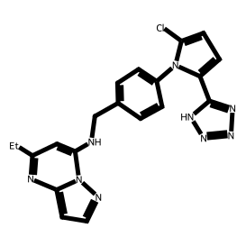 CCc1cc(NCc2ccc(-n3c(Cl)ccc3-c3nnn[nH]3)cc2)n2nccc2n1